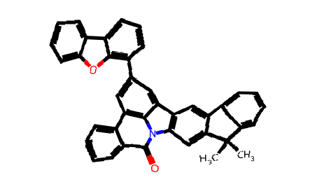 CC1(C)c2ccccc2-c2cc3c4cc(-c5cccc6c5oc5ccccc56)cc5c6ccccc6c(=O)n(c3cc21)c54